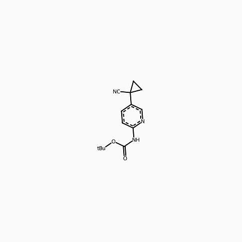 CC(C)(C)OC(=O)Nc1ccc(C2(C#N)CC2)cn1